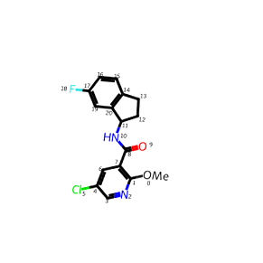 COc1ncc(Cl)cc1C(=O)NC1CCc2ccc(F)cc21